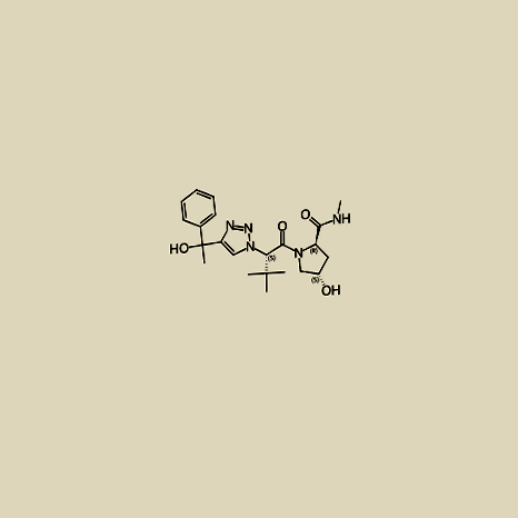 CNC(=O)[C@H]1C[C@H](O)CN1C(=O)[C@@H](n1cc(C(C)(O)c2ccccc2)nn1)C(C)(C)C